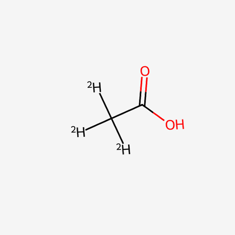 [2H]C([2H])([2H])C(=O)O